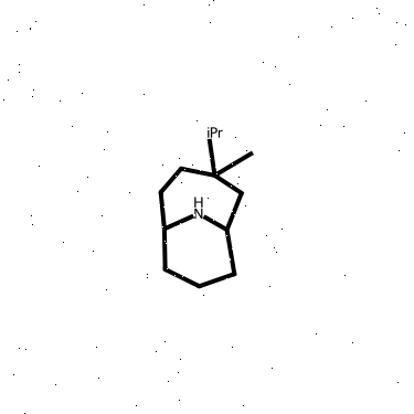 CC(C)C1(C)CCC2CCCC(C1)N2